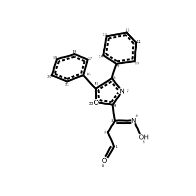 O=CCC(=NO)c1nc(-c2ccccc2)c(-c2ccccc2)o1